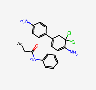 CC(=O)CC(=O)Nc1ccccc1.NC1=CC=C(c2ccc(N)cc2)CC1(Cl)Cl